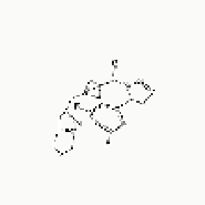 O=C(N1N=CCC1c1cc(F)cc(F)c1)C12CC(Cn3cc4c(n3)CCC4)(C1)C2